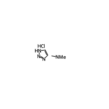 CNC.Cl.c1c[nH]nn1